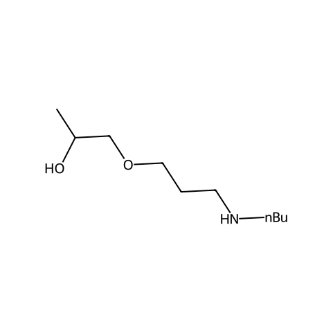 CCCCNCCCOCC(C)O